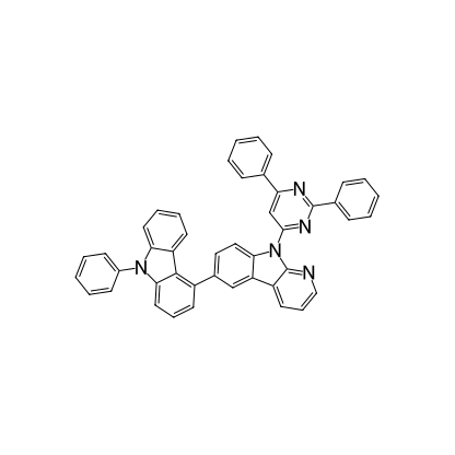 c1ccc(-c2cc(-n3c4ccc(-c5cccc6c5c5ccccc5n6-c5ccccc5)cc4c4cccnc43)nc(-c3ccccc3)n2)cc1